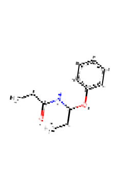 CCC(=O)NC(CC)Oc1cc[c]cc1